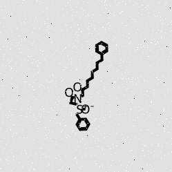 O=C(CCCCCCCc1ccccc1)CN1C(=O)CC1[S+]([O-])Cc1ccccc1